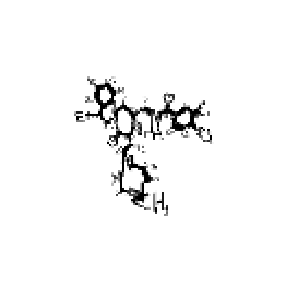 CC[C@H](CN1CC[C@@H](CNC(=O)c2ccc(Cl)c(Cl)c2)N[C@@H](CCN2CCN(C)CC2)C1=O)c1ccccc1